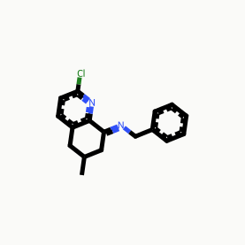 CC1CC(=NCc2ccccc2)c2nc(Cl)ccc2C1